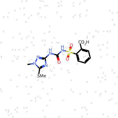 CSc1nc(NC(=O)NS(=O)(=O)c2ccccc2C(=O)O)nn1C